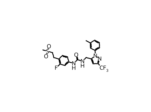 Cc1cccc(-n2nc(C(F)(F)F)cc2CNC(=O)Nc2ccc(CCS(C)(=O)=O)c(F)c2)c1